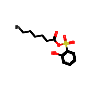 CC(C)CCCCCC(=O)OS(=O)(=O)c1ccccc1O